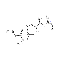 CC/C=C(\C=C(/CCC)C1=CN=CC(CC(C)C(=O)COCC)=CC1)CC